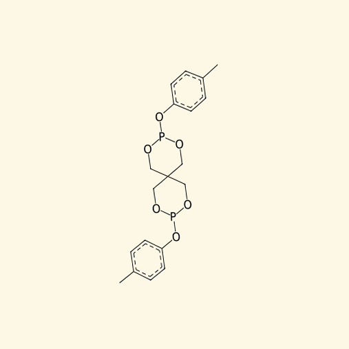 Cc1ccc(OP2OCC3(CO2)COP(Oc2ccc(C)cc2)OC3)cc1